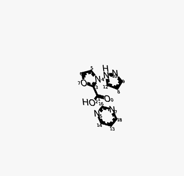 O=C(O)c1ncco1.c1cn[nH]c1.c1cncnc1